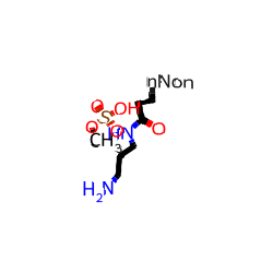 CCCCCCCCCCCC(=O)NCCCN.COS(=O)(=O)O